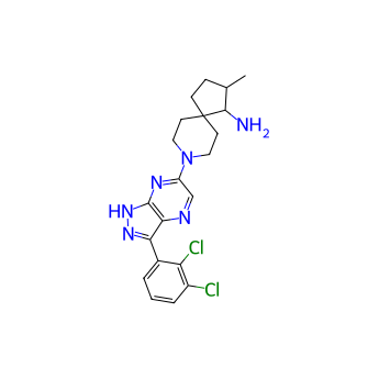 CC1CCC2(CCN(c3cnc4c(-c5cccc(Cl)c5Cl)n[nH]c4n3)CC2)C1N